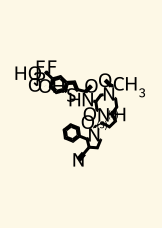 CC(=O)N1CC[C@H]2CC[C@@H](C(=O)N3CCC(C#N)C3c3ccccc3)N2C(=O)C(NC(=O)c2cc3cc(C(F)(F)P(=O)(O)O)ccc3s2)C1